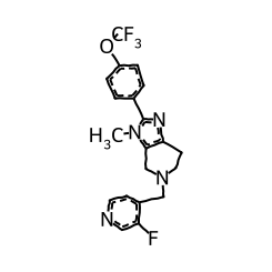 Cn1c(-c2ccc(OC(F)(F)F)cc2)nc2c1CN(Cc1ccncc1F)CC2